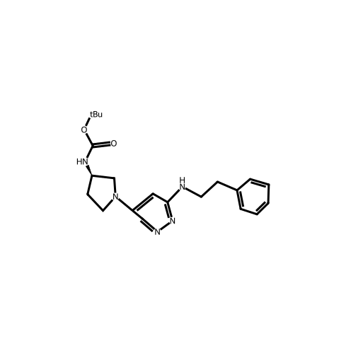 CC(C)(C)OC(=O)N[C@@H]1CCN(c2cnnc(NCCc3ccccc3)c2)C1